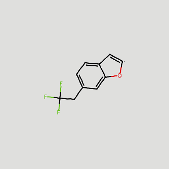 FC(F)(F)Cc1ccc2c[c]oc2c1